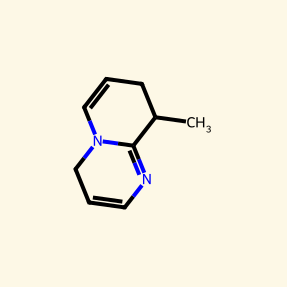 CC1CC=CN2CC=CN=C12